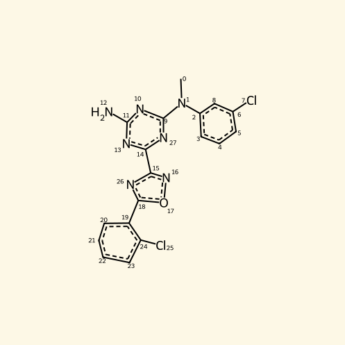 CN(c1cccc(Cl)c1)c1nc(N)nc(-c2noc(-c3ccccc3Cl)n2)n1